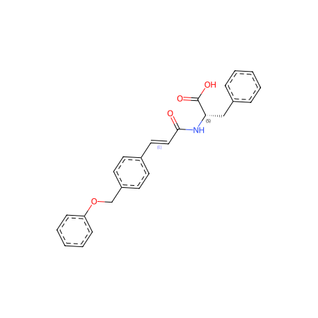 O=C(/C=C/c1ccc(COc2ccccc2)cc1)N[C@@H](Cc1ccccc1)C(=O)O